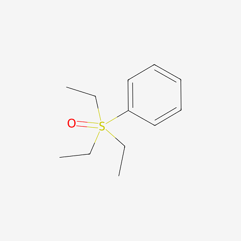 CCS(=O)(CC)(CC)c1ccccc1